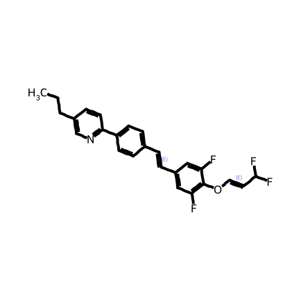 CCCc1ccc(-c2ccc(/C=C/c3cc(F)c(O/C=C/C(F)F)c(F)c3)cc2)nc1